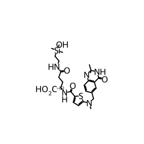 Cc1nc2ccc(CN(C)c3ccc(C(=O)N[C@@H](CCC(=O)NCC[Si](C)(C)O)C(=O)O)s3)cc2c(=O)[nH]1